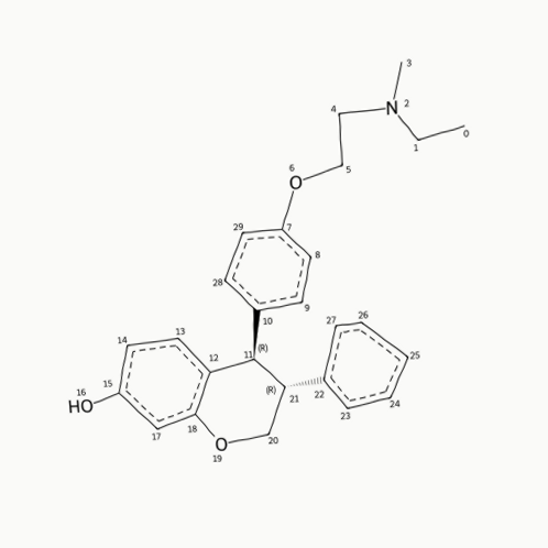 CCN(C)CCOc1ccc([C@@H]2c3ccc(O)cc3OC[C@H]2c2ccccc2)cc1